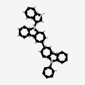 c1ccc(-n2c3ccccc3c3cc(-c4ccc5c(c4)c4ccccc4n5-c4csc5ccccc45)ccc32)cc1